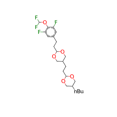 CCCCC1COC(CCC2COC(CCc3cc(F)c(OC(F)F)c(F)c3)OC2)OC1